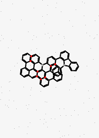 c1ccc(-c2cccc3cccc(-c4ccccc4N(c4ccc(-c5cccc6c7ccccc7n(-c7ccccc7)c56)cc4)c4ccccc4-c4cccc5cccc(-c6ccccc6)c45)c23)cc1